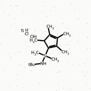 CC1=C(C)C(C)C([Si](C)(C)NC(C)(C)C)=C1C.Cl.Cl.[Ti]